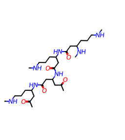 CNCCCC(CC(=O)NC(CCCNC)CC(=O)NC(CC(C)=O)CC(=O)NC(CCCNC)CC(C)=O)NC